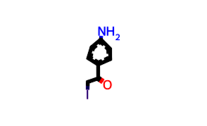 Nc1ccc(C(=O)CI)cc1